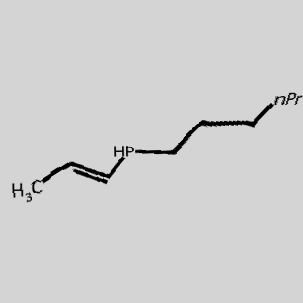 CC=CPCCCCCC